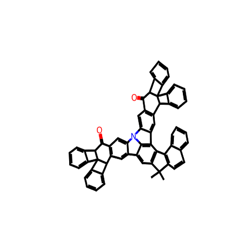 CC1(C)c2ccc3ccccc3c2-c2c1cc1c3cc4c(cc3n3c5cc6c(cc5c2c13)C1c2ccccc2C12c1ccccc1C2C6=O)C(=O)C1c2ccccc2C12c1ccccc1C42